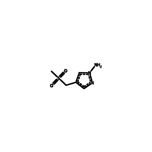 CS(=O)(=O)Cc1cnn(N)c1